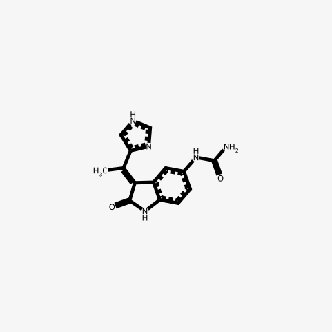 C/C(=C1\C(=O)Nc2ccc(NC(N)=O)cc21)c1c[nH]cn1